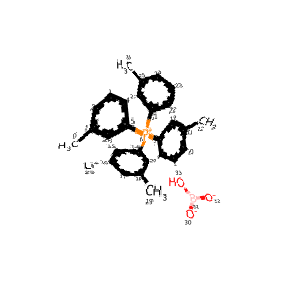 Cc1cccc([P+](c2cccc(C)c2)(c2cccc(C)c2)c2cccc(C)c2)c1.[Li+].[O-]B([O-])O